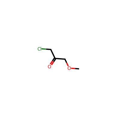 COCC(=O)CCl